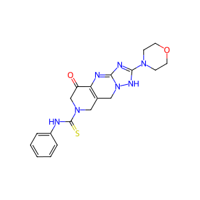 O=C1CN(C(=S)Nc2ccccc2)CC2=C1N=C1N=C(N3CCOCC3)NN1C2